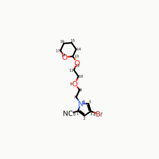 N#Cc1cc(Br)cn1CCOCCOC1CCCCO1